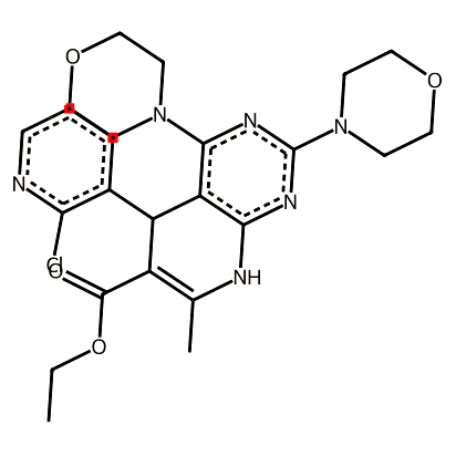 CCOC(=O)C1=C(C)Nc2nc(N3CCOCC3)nc(N3CCOCC3)c2C1c1cccnc1Cl